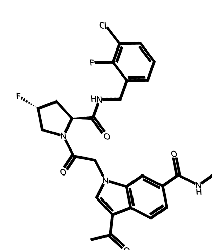 CNC(=O)c1ccc2c(C(C)=O)cn(CC(=O)N3C[C@H](F)C[C@H]3C(=O)NCc3cccc(Cl)c3F)c2c1